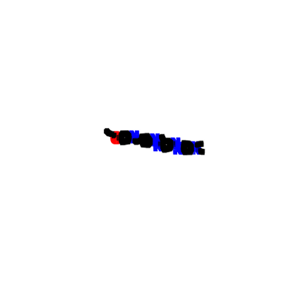 CCCOc1ccc(N=Cc2ccc(N=Nc3ccc(N=Nc4ccc(N(CC)CC)cc4)cc3C)cc2)cc1